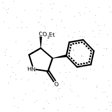 CCOC(=O)[C@@H]1CNC(=O)[C@@H]1c1ccccc1